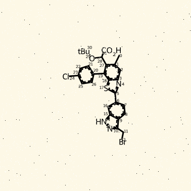 Cc1cc2nc(-c3ccc4c(CBr)n[nH]c4c3)sc2c(-c2ccc(Cl)cc2)c1C(OC(C)(C)C)C(=O)O